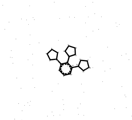 c1cc(C2CCCC2)c(C2CCCC2)c(C2CCCC2)c1